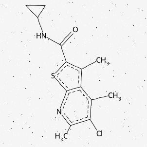 Cc1nc2sc(C(=O)NC3CC3)c(C)c2c(C)c1Cl